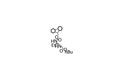 CCCCOC(=O)CNC[C@H](CC)NC(=O)OCC1c2ccccc2-c2ccccc21